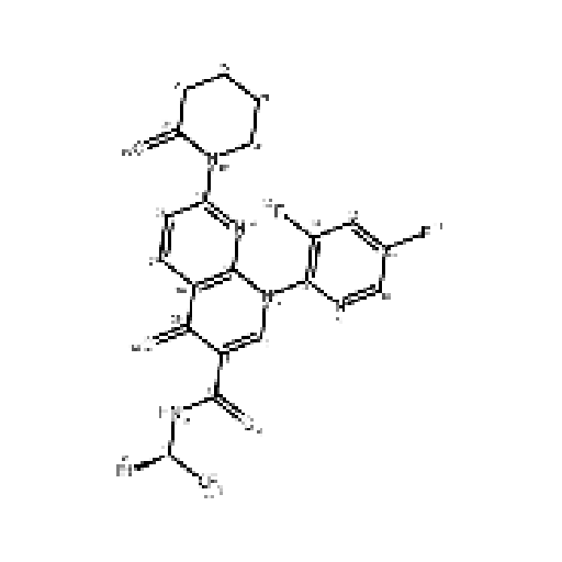 CC[C@@H](NC(=O)c1cn(-c2ncc(F)cc2F)c2nc(N3CCCCC3=O)ccc2c1=O)C(F)(F)F